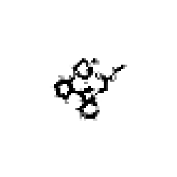 CCOC(=O)Cn1cc(-c2ccccc2N2CCN(C)CC2)c2cncnc21